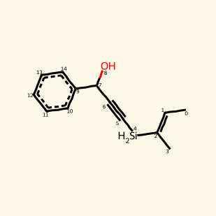 CC=C(C)[SiH2]C#CC(O)c1ccccc1